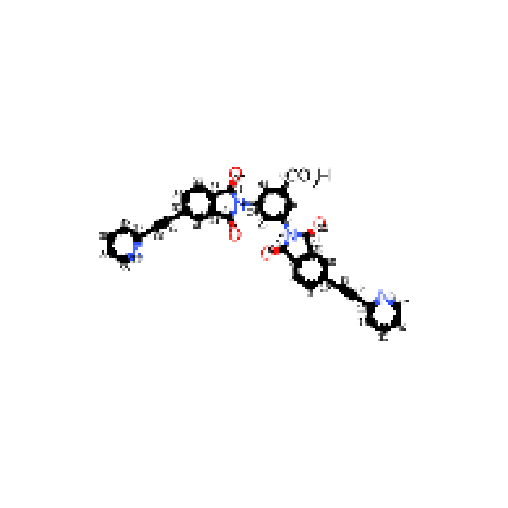 O=C(O)c1cc(N2C(=O)c3ccc(C#Cc4ccccn4)cc3C2=O)cc(N2C(=O)c3ccc(C#Cc4ccccn4)cc3C2=O)c1